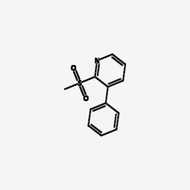 CS(=O)(=O)c1ncccc1-c1ccccc1